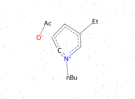 CC(=O)[O-].CCCC[n+]1cccc(CC)c1